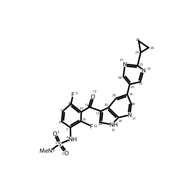 CNS(=O)(=O)Nc1ccc(F)c(C(=O)c2c[nH]c3ncc(-c4cnc(C5CC5)nc4)cc23)c1F